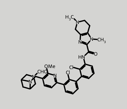 COc1nc(-c2cccc(-c3cccc(NC(=O)c4nc5c(n4C)CCN(C)C5)c3Cl)c2Cl)ccc1CN1C2CC1CN(C=O)C2